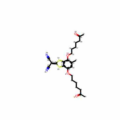 CC(=O)CCCCCOc1cc(C)c(OCCCCCC(C)=O)c2c1SC(=C(C#N)C#N)S2